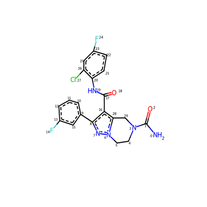 NC(=O)N1CCn2nc(-c3cccc(F)c3)c(C(=O)Nc3ccc(F)cc3Cl)c2C1